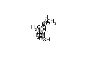 CC(=O)N[C@H]1CCN(C(=O)CC[C@@H](C)[C@H]2CC[C@H]3[C@@H]4CC[C@H]5C[C@@H](O)CC[C@]5(C)[C@H]4CC[C@]23C)C1